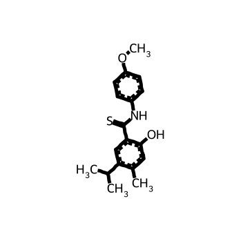 COc1ccc(NC(=S)c2cc(C(C)C)c(C)cc2O)cc1